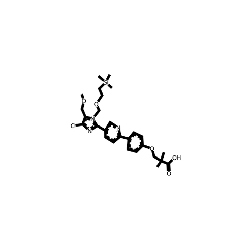 COCc1c(Cl)nc(-c2ccc(-c3ccc(OCC(C)(C)C(=O)O)cc3)nc2)n1COCC[Si](C)(C)C